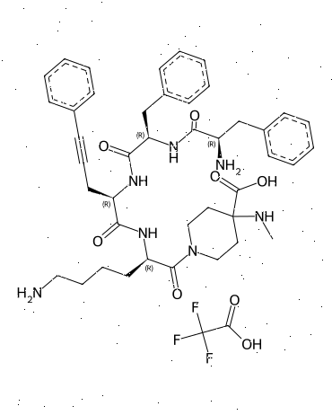 CNC1(C(=O)O)CCN(C(=O)[C@@H](CCCCN)NC(=O)[C@@H](CC#Cc2ccccc2)NC(=O)[C@@H](Cc2ccccc2)NC(=O)[C@H](N)Cc2ccccc2)CC1.O=C(O)C(F)(F)F